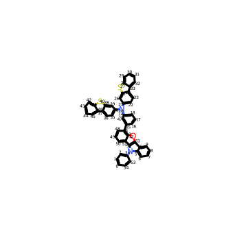 c1ccc(-n2c3ccccc3c3oc4c(-c5cccc(N(c6ccc7c(c6)sc6ccccc67)c6ccc7c(c6)sc6ccccc67)c5)cccc4c32)cc1